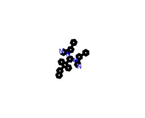 c1ccc(-c2ccc3c(c2)c2cnccc2n3-c2cc(-c3c4ccccc4c(-c4ccc5ccccc5c4)c4ccccc34)cc(-n3c4ccncc4c4cc(-c5ccccc5)ccc43)c2)cc1